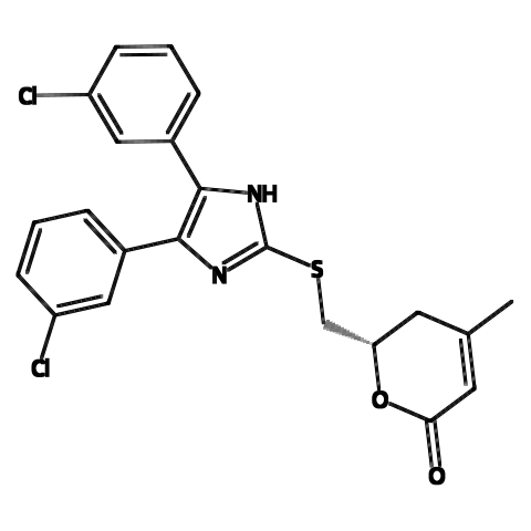 CC1=CC(=O)O[C@H](CSc2nc(-c3cccc(Cl)c3)c(-c3cccc(Cl)c3)[nH]2)C1